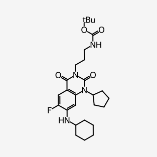 CC(C)(C)OC(=O)NCCCn1c(=O)c2cc(F)c(NC3CCCCC3)cc2n(C2CCCC2)c1=O